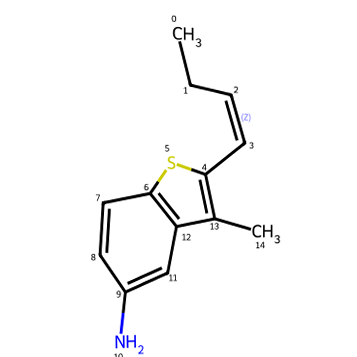 CC/C=C\c1sc2ccc(N)cc2c1C